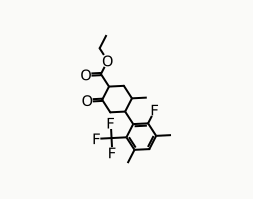 CCOC(=O)C1CC(C)C(c2c(F)c(C)cc(C)c2C(F)(F)F)CC1=O